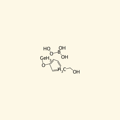 CCO.OOB(O)O.[GeH3][O]c1ccccc1